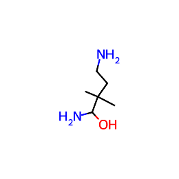 CC(C)(CCN)C(N)O